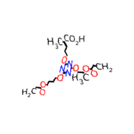 C=CC(=O)OCCCCOc1nc(OCCC=C(C)C(=O)O)nc(OCC(C)OC(=O)C=C)n1